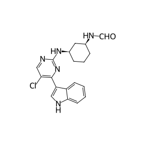 O=CN[C@H]1CCC[C@@H](Nc2ncc(Cl)c(-c3c[nH]c4ccccc34)n2)C1